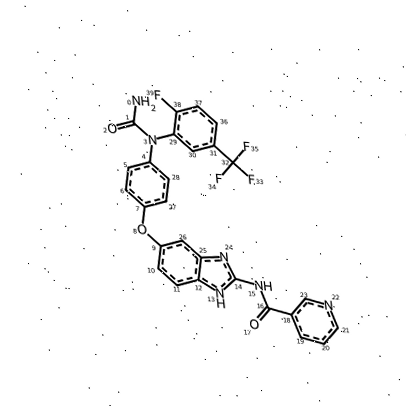 NC(=O)N(c1ccc(Oc2ccc3[nH]c(NC(=O)c4cccnc4)nc3c2)cc1)c1cc(C(F)(F)F)ccc1F